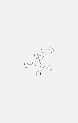 c1ccc(-c2ccc(N(c3ccc(-c4cccc5c4oc4ccccc45)cc3)c3sc(-c4ccccc4)c4c3Oc3ccccc3O4)c(-c3ccccc3)c2)cc1